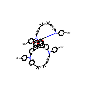 CC(C)(C)c1ccc(N2c3ccc(cc3)C(C)(C)CC(C)(C)c3ccc(cc3)N(c3ccc(C(C)(C)C)cc3)c3ccc4c(c3)C3(c5ccccc5)c5cc(ccc5-4)N(c4ccc(C(C)(C)C)cc4)c4ccc(cc4)C(C)(C)CC(C)(C)c4ccc(cc4)N(c4ccc(C(C)(C)C)cc4)c4ccc5c(c4)C3(c3ccccc3)c3cc2ccc3-5)cc1